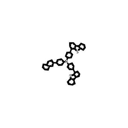 c1ccc2cc(-c3ccc(N(c4ccc(-c5cccc6c5sc5ccccc56)cc4)c4ccc(-c5cccc6c5sc5ccccc56)cc4)cc3)ccc2c1